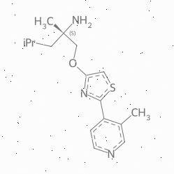 Cc1cnccc1-c1nc(OC[C@@](C)(N)CC(C)C)cs1